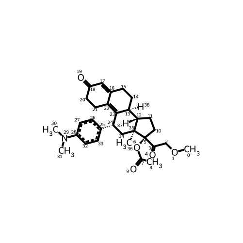 COCC(=O)[C@@]1(OC(C)=O)CC[C@H]2[C@@H]3CCC4=CC(=O)CCC4=C3[C@@H](c3ccc(N(C)C)cc3)C[C@@]21C